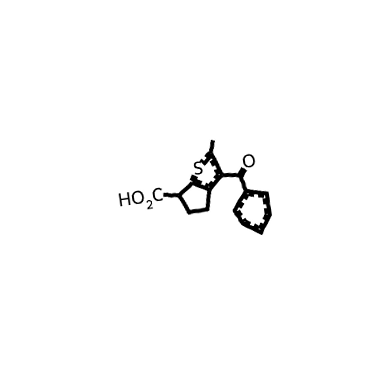 Cc1sc2c(c1C(=O)c1ccccc1)CCC2C(=O)O